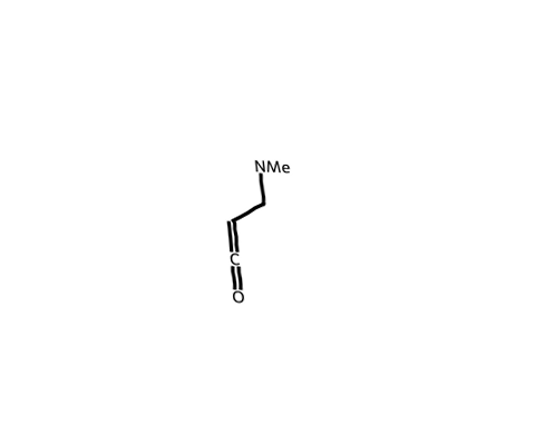 CNCC=C=O